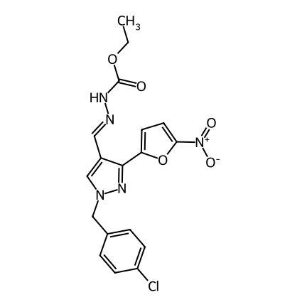 CCOC(=O)NN=Cc1cn(Cc2ccc(Cl)cc2)nc1-c1ccc([N+](=O)[O-])o1